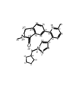 Cc1ccc(-c2cnn(CC3CCCC3)c2)c(-c2ccc3c(c2)C(=O)N(C)C3)n1